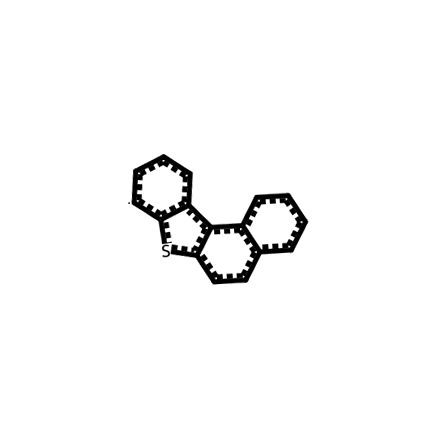 [c]1cccc2c1sc1ccc3ccccc3c12